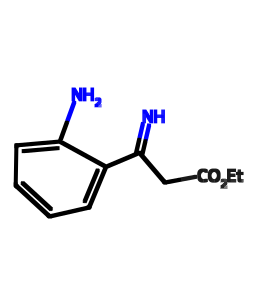 CCOC(=O)CC(=N)c1ccccc1N